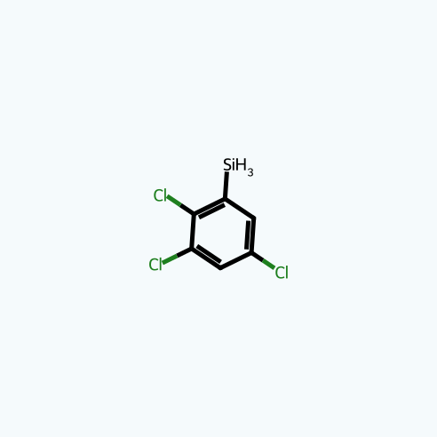 [SiH3]c1cc(Cl)cc(Cl)c1Cl